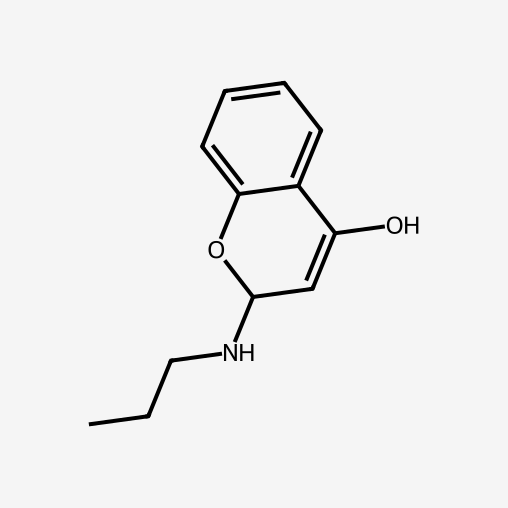 CCCNC1C=C(O)c2ccccc2O1